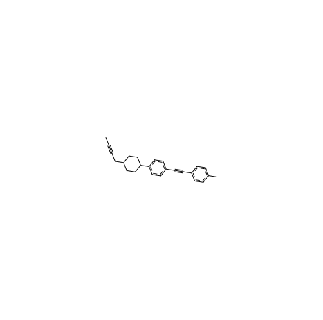 CC#CCC1CCC(c2ccc(C#Cc3ccc(C)cc3)cc2)CC1